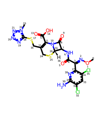 CON=C(C(=O)NC1C(=O)N2C(C(=O)O)=C(CSc3nnnn3C)CS[C@@H]12)c1nc(N)c(Cl)cc1Cl